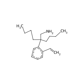 C=Cc1ccccc1C(CN)(CCCC)CCCC